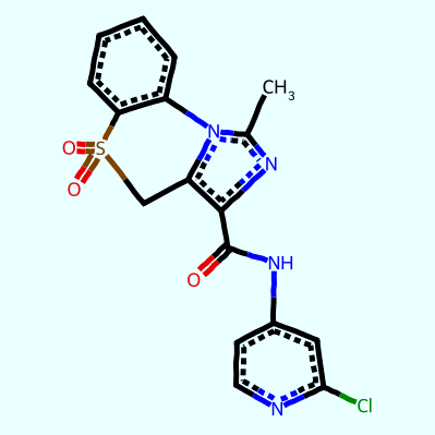 Cc1nc(C(=O)Nc2ccnc(Cl)c2)c2n1-c1ccccc1S(=O)(=O)C2